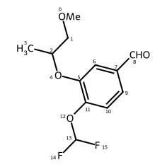 COCC(C)Oc1cc(C=O)ccc1OC(F)F